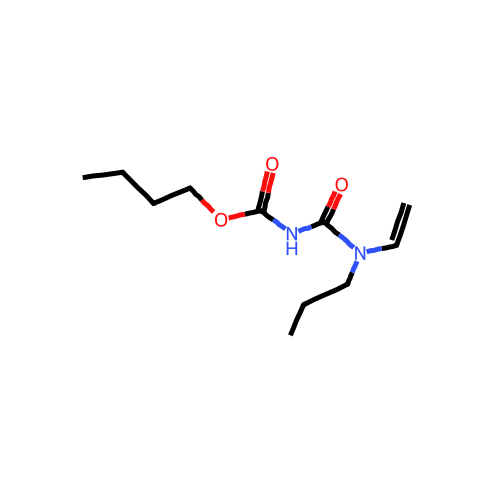 C=CN(CCC)C(=O)NC(=O)OCCCC